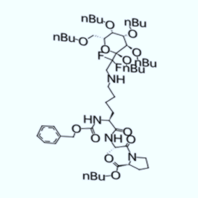 CCCCOC[C@H]1O[C@@](OCCCC)(C(F)(F)CNCCCC[C@H](NC(=O)OCc2ccccc2)C(=O)N[C@@H](C)C(=O)N2CCC[C@H]2C(=O)OCCCC)[C@H](OCCCC)[C@@H](OCCCC)[C@H]1OCCCC